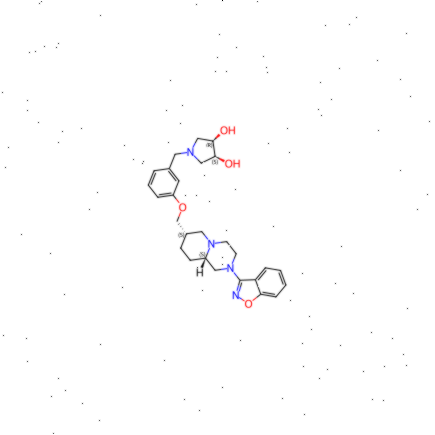 O[C@@H]1CN(Cc2cccc(OC[C@H]3CC[C@H]4CN(c5noc6ccccc56)CCN4C3)c2)C[C@@H]1O